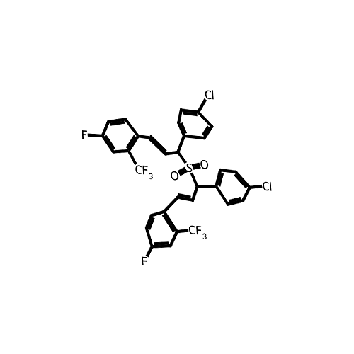 O=S(=O)(C(C=Cc1ccc(F)cc1C(F)(F)F)c1ccc(Cl)cc1)C(C=Cc1ccc(F)cc1C(F)(F)F)c1ccc(Cl)cc1